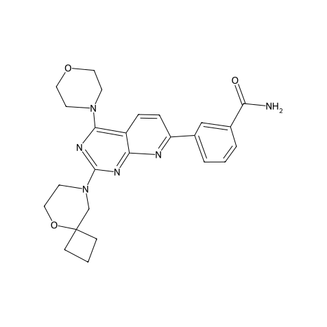 NC(=O)c1cccc(-c2ccc3c(N4CCOCC4)nc(N4CCOC5(CCC5)C4)nc3n2)c1